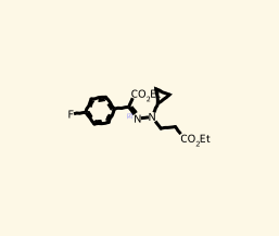 CCOC(=O)CCN(/N=C(\C(=O)OCC)c1ccc(F)cc1)C1CC1